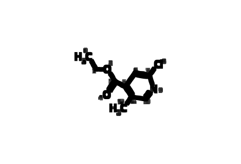 CCOC(=O)c1cc(Cl)ncc1C